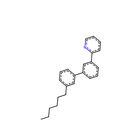 CCCCCCc1cccc(-c2cccc(-c3ccccn3)c2)c1